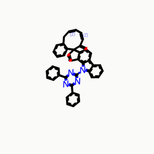 C=C1/C=C\C=C/Cc2ccccc2C12c1ccccc1-c1c2ccc2c3ccccc3n(-c3nc(-c4ccccc4)nc(-c4ccccc4)n3)c12